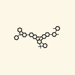 Cc1ccccc1-c1cc(-c2ccc3cc4c(cc3c2)c2c3c(cc5c6cc7cc(-c8ccc9c(c8)c8ccccc8n9-c8ccccc8)ccc7cc6n4c52)C(C)(C)c2ccccc2-3)ccc1C